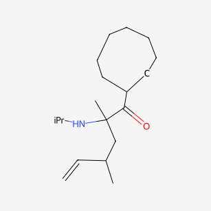 C=CC(C)CC(C)(NC(C)C)C(=O)C1CCCCCCC1